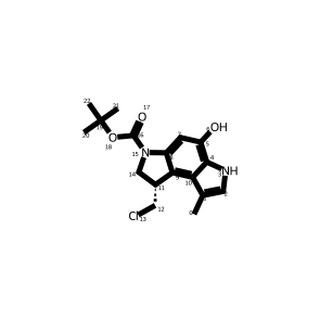 Cc1c[nH]c2c(O)cc3c(c12)[C@H](CCl)CN3C(=O)OC(C)(C)C